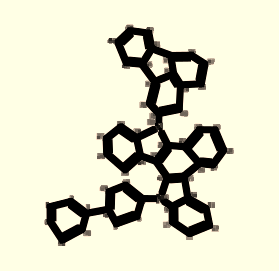 c1ccc(-c2ccc(-n3c4ccccc4c4c5ccccc5c5c(c6ccccc6n5-c5cc6c7c(cccc7c5)-c5ccccc5-6)c43)cc2)cc1